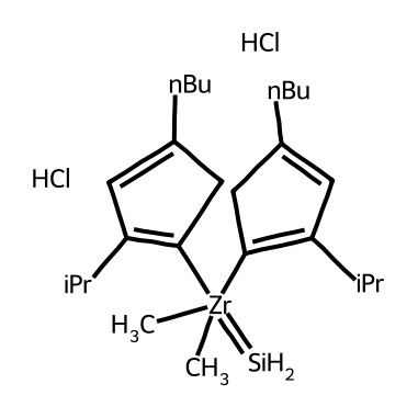 CCCCC1=CC(C(C)C)=[C]([Zr]([CH3])([CH3])(=[SiH2])[C]2=C(C(C)C)C=C(CCCC)C2)C1.Cl.Cl